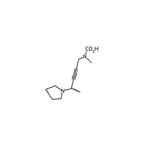 CC(C#CCN(C)C(=O)O)N1CCCC1